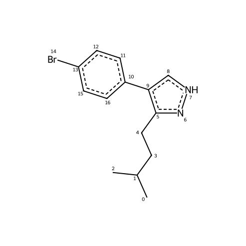 CC(C)CCc1n[nH]cc1-c1ccc(Br)cc1